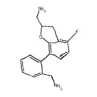 NCc1ccccc1-c1ccc(F)c2c1OC(CN)C2